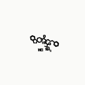 CC(C)(N)C(=O)N[C@H](CCCc1ccccc1)C(=O)N1CCC2(CCc3ccccc32)CC1.Cl